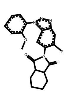 COc1ccccc1-n1nnc2cc(F)c(N3C(=O)C4CCCCC4C3=O)cc21